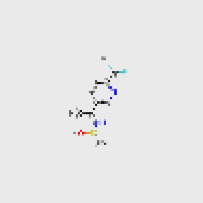 CC(N[S@@+]([O-])C(C)(C)C)c1ccc(C(F)F)nc1